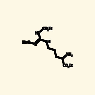 CCOC(=O)N/C(=N\OC)NCCCC(N)C(=O)OCC